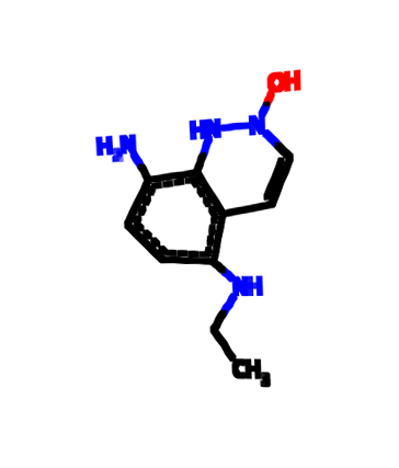 CCNc1ccc(N)c2c1C=CN(O)N2